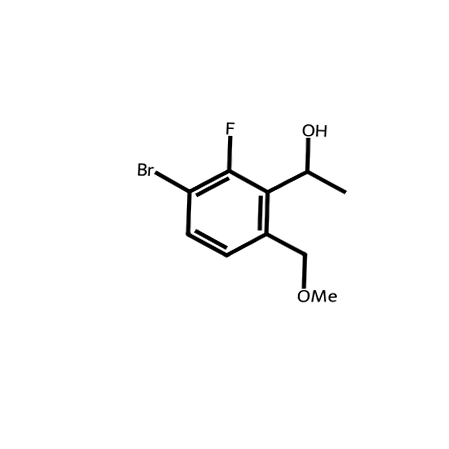 COCc1ccc(Br)c(F)c1C(C)O